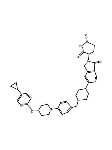 O=C1CCC(N2Cc3nc(C4CCN(Cc5ccc(N6CCC(Nc7ncc(C8CC8)cn7)CC6)cc5)CC4)ccc3C2=O)C(=O)N1